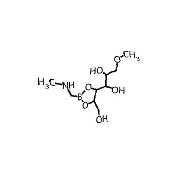 CNCB1OC(CO)C(C(O)C(O)COC)O1